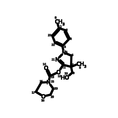 Cc1ccc(N2CC(C)(CO)C(OC(=O)N3CCOCC3)=N2)cc1